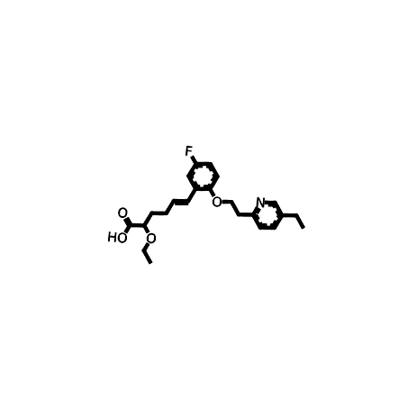 CCOC(CC/C=C/c1cc(F)ccc1OCCc1ccc(CC)cn1)C(=O)O